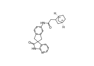 O=C(CC1C[C@@H]2CC[C@H]1C2)Nc1ccc2c(c1)CC1(C2)C(=O)Nc2ncccc21